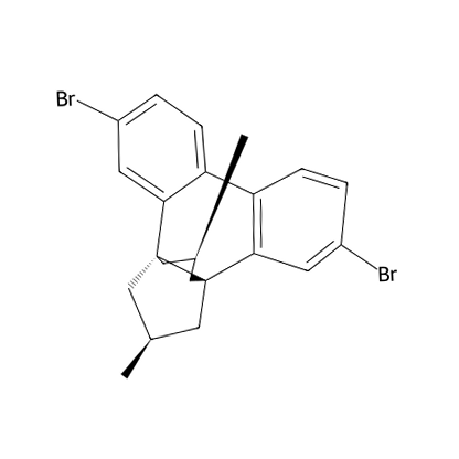 C[C@H]1C[C@@]23C[C@@H](C)C[C@]2(C1)c1cc(Br)ccc1-c1ccc(Br)cc13